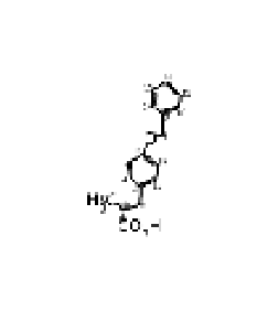 C[C@@H](Cc1ccc(OCc2ccccc2)cc1)C(=O)O